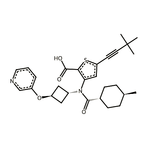 CC(C)(C)C#Cc1cc(N(C(=O)[C@H]2CC[C@H](C)CC2)[C@H]2C[C@H](Oc3cccnc3)C2)c(C(=O)O)s1